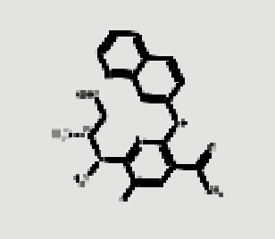 C[C@H](CC=O)N(N)c1nc(Nc2ccc3cccnc3c2)c(C(N)=O)cc1F